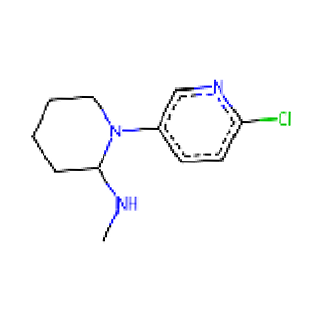 CNC1CCCCN1c1ccc(Cl)nc1